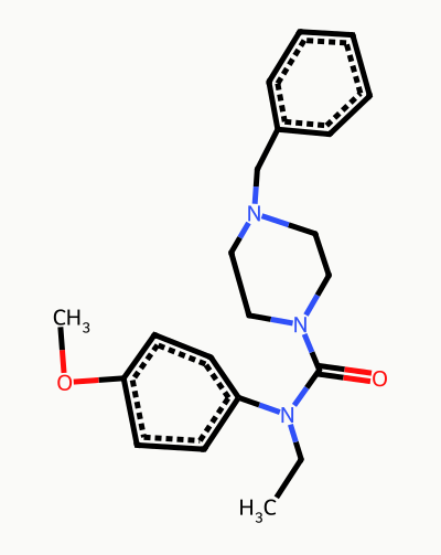 CCN(C(=O)N1CCN(Cc2ccccc2)CC1)c1ccc(OC)cc1